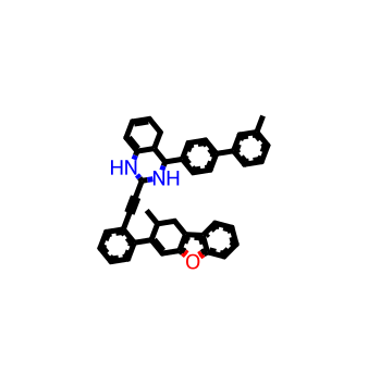 Cc1cccc(-c2ccc(C3NC(C#Cc4ccccc4C4=Cc5oc6ccccc6c5CC4C)NC4=CC=CCC43)cc2)c1